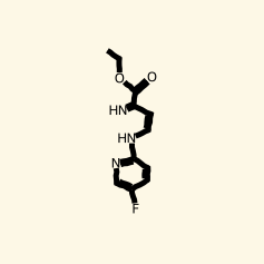 CCOC(=O)C(=N)/C=C\Nc1ccc(F)cn1